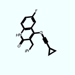 CC(C)Cc1c(OC#CC2CC2)c2cc(F)ccc2[nH]c1=O